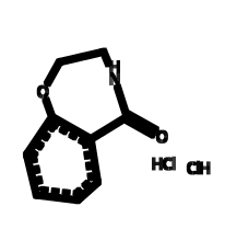 Cl.Cl.O=C1NCCOc2ccccc21